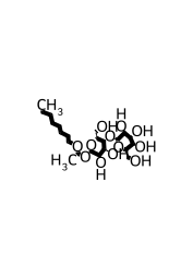 CCCCCCCCOC(C)O[C@H]1O[C@H](CO)[C@@H](O[C@@H]2O[C@H](CO)[C@H](O)[C@H](O)[C@H]2O)[C@H](O)[C@H]1O